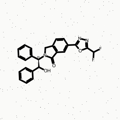 O=C1c2cc(-c3nnc(C(F)F)o3)ccc2CN1[C@H](c1ccccc1)C(O)c1ccccc1